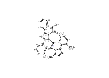 N#Cc1cnn(-c2cc(S(=O)(=O)O)ccc2S(=O)(=O)O)c1/N=N/c1c(-c2cccc([N+](=O)[O-])c2)nn2c1[nH]c(=O)c1ccccc12